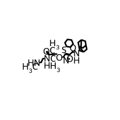 CNCCNC(=O)C(C)(C)COc1noc(C(=O)NC2C3CC4CC(C3)CC2C4)c1SC1CCCCC1